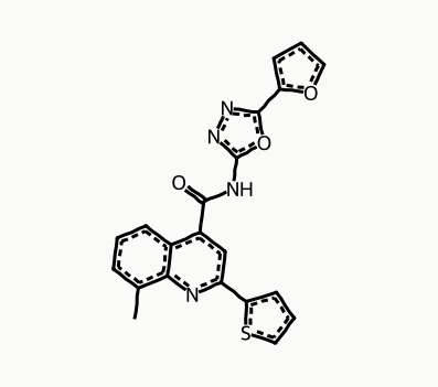 Cc1cccc2c(C(=O)Nc3nnc(-c4ccco4)o3)cc(-c3cccs3)nc12